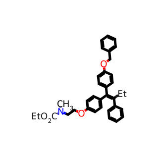 CCOC(=O)N(C)CCOc1ccc(C(=C(CC)c2ccccc2)c2ccc(OCc3ccccc3)cc2)cc1